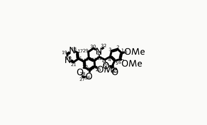 COc1ccc2c(c1OC)C(=O)O[C@@H]2[C@H]1c2c(c(-c3cncnc3)c3c(c2OC)OCO3)CCN1C